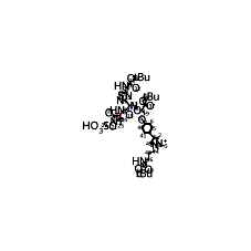 C[n+]1cc(-c2ccc(OCC(O/N=C(\C(=O)NC3C(=O)N(OS(=O)(=O)O)C3(C)C)c3nsc(NC(=O)OC(C)(C)C)n3)C(=O)OC(C)(C)C)cc2)cn1CCCNC(=O)OC(C)(C)C